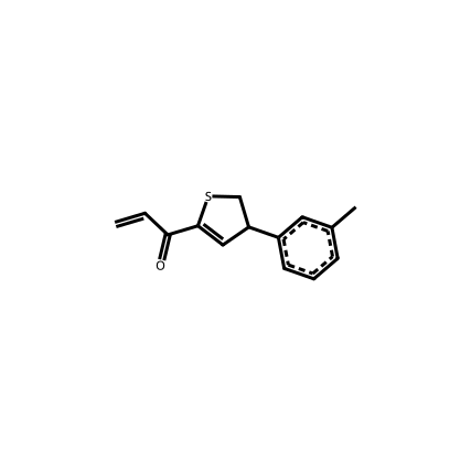 C=CC(=O)C1=CC(c2cccc(C)c2)CS1